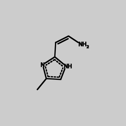 Cc1c[nH]c(/C=C\N)n1